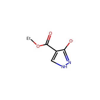 CCOC(=O)c1c[nH]nc1[O]